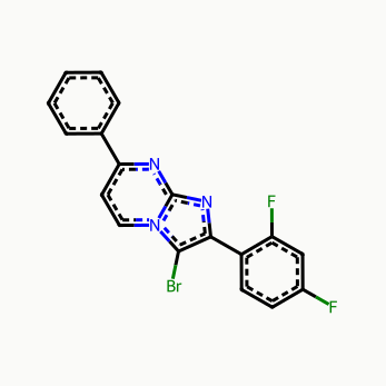 Fc1ccc(-c2nc3nc(-c4ccccc4)ccn3c2Br)c(F)c1